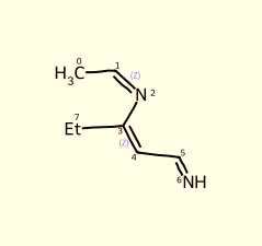 C/C=N\C(=C/C=N)CC